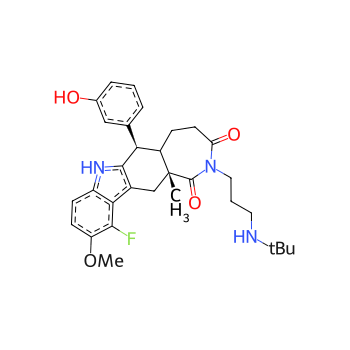 COc1ccc2[nH]c3c(c2c1F)C[C@@]1(C)C(=O)N(CCCNC(C)(C)C)C(=O)CCC1[C@@H]3c1cccc(O)c1